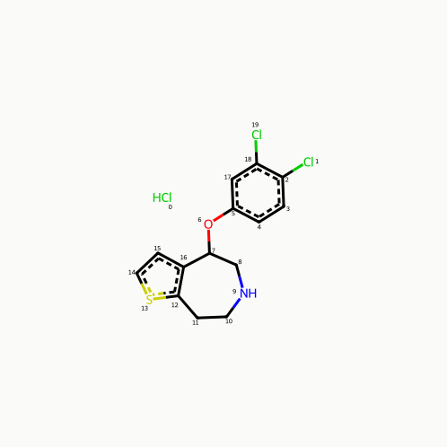 Cl.Clc1ccc(OC2CNCCc3sccc32)cc1Cl